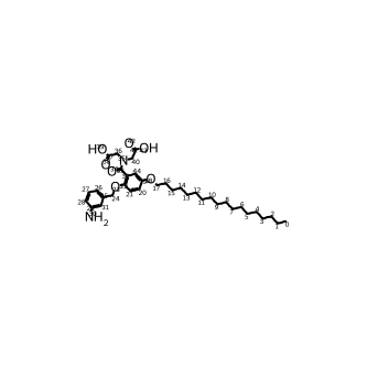 CCCCCCCCCCCCCCCCCCOc1ccc(OCc2cccc(N)c2)c(C(=O)N(CC(=O)O)CC(=O)O)c1